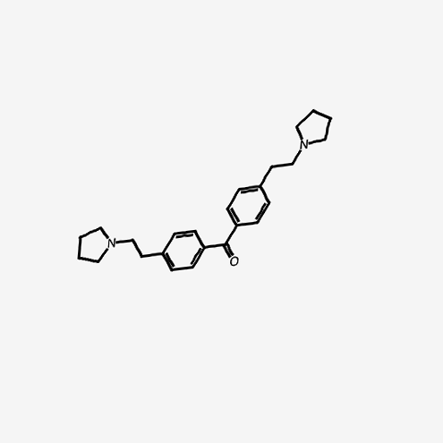 O=C(c1ccc(CCN2CCCC2)cc1)c1ccc(CCN2CCCC2)cc1